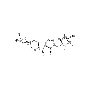 Cc1c(Cc2cccc(C(=O)N3CCC(N4CC(F)(F)C4)CC3)c2F)n[nH]c(=O)c1C